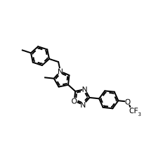 Cc1ccc(Cn2cc(-c3nc(-c4ccc(OC(F)(F)F)cc4)no3)cc2C)cc1